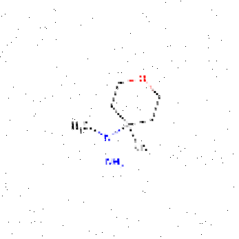 CN(N)C1(C#N)CCOCC1